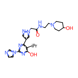 CC(C)c1c(O)nc(-n2ccnc2)nc1-c1cnn(CC(=O)NCCN2CCC(O)CC2)c1